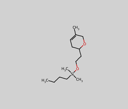 CCCC[Si](C)(C)OCCC1CC=C(C)CO1